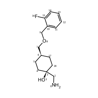 NC[C@]1(O)CC[C@@H](COCc2ccccc2F)CC1